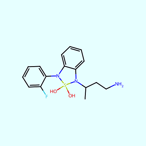 CC(CCN)N1c2ccccc2N(c2ccccc2F)S1(O)O